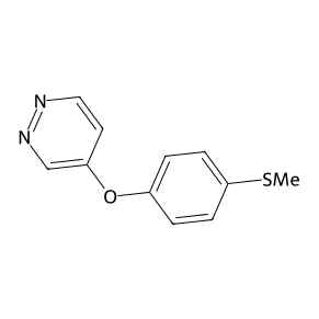 CSc1ccc(Oc2ccnnc2)cc1